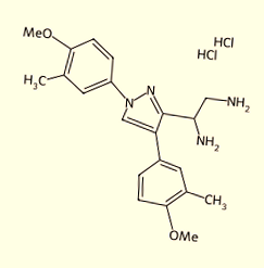 COc1ccc(-c2cn(-c3ccc(OC)c(C)c3)nc2C(N)CN)cc1C.Cl.Cl